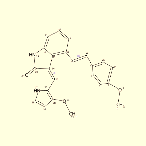 COc1ccc(/C=C/c2cccc3c2/C(=C/c2[nH]ccc2OC)C(=O)N3)cc1